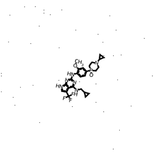 COc1cc(P2(=O)CCN(C3CC3)CC2)ccc1Nc1nc(NCC2CC2)c2c(C(F)(F)F)c[nH]c2n1